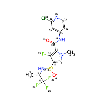 CC(N[S+]([O-])c1cn(C)c(C(=O)Nc2ccnc(Cl)c2)c1F)C(F)(F)F